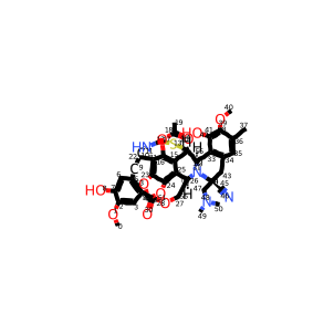 COc1cc2c(cc1O)CCNCS[C@@H]1c3c(OC(C)=O)c(C)c4c(c3[C@H](COC2=O)N2[C@@H]1c1c(cc(C)c(OC)c1O)C[C@]2(C#N)CN(C)C)OCO4